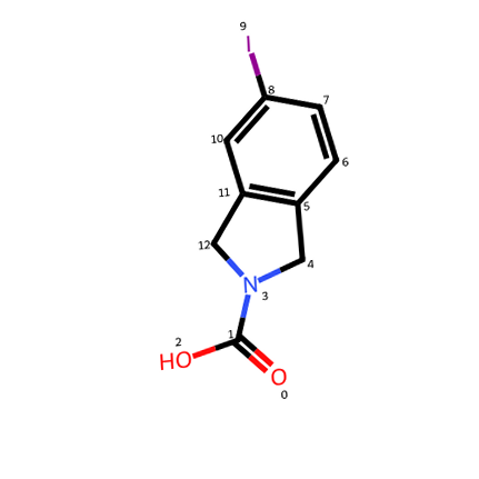 O=C(O)N1Cc2ccc(I)cc2C1